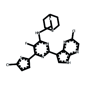 Fc1c(NC2CC3CCB2CC3)nc(-c2c[nH]c3ncc(Cl)nc23)nc1-c1ccc(Cl)s1